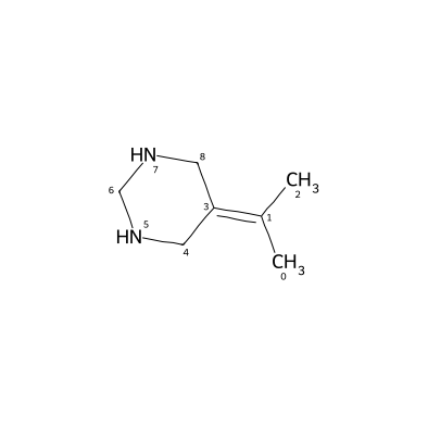 CC(C)=C1CNCNC1